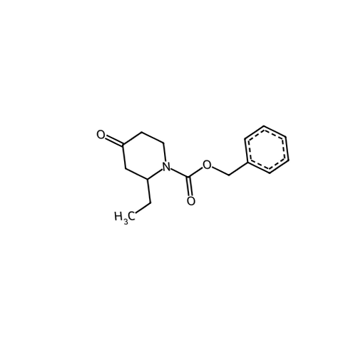 CCC1CC(=O)CCN1C(=O)OCc1ccccc1